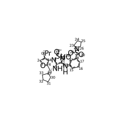 CC(C)c1coc([C@H](Nc2n[s+]([O-])nc2Nc2cccc(S(=O)(=O)N3CCCC3)c2O)C2CCCC2)c1